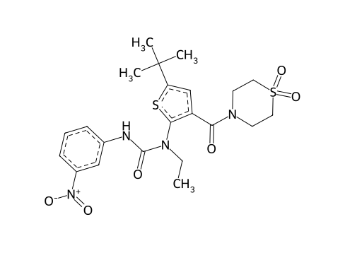 CCN(C(=O)Nc1cccc([N+](=O)[O-])c1)c1sc(C(C)(C)C)cc1C(=O)N1CCS(=O)(=O)CC1